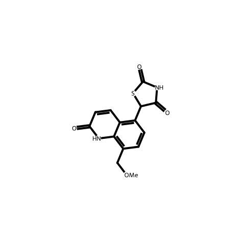 COCc1ccc(C2SC(=O)NC2=O)c2ccc(=O)[nH]c12